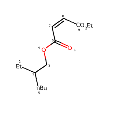 CCCCC(CC)COC(=O)/C=C\C(=O)OCC